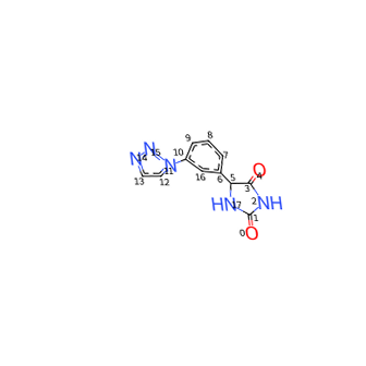 O=C1NC(=O)C(c2cccc(-n3ccnn3)c2)N1